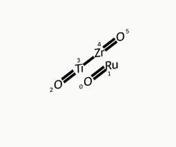 [O]=[Ru].[O]=[Ti][Zr]=[O]